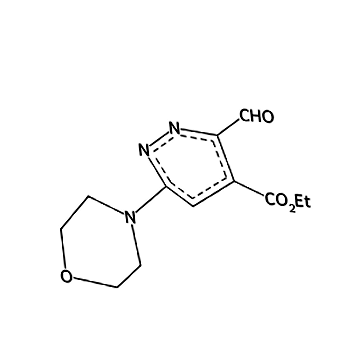 CCOC(=O)c1cc(N2CCOCC2)nnc1C=O